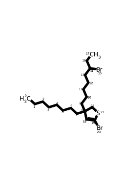 CCCCCCCCC1(CCCCCC(Br)CC)C=C(Br)SC1